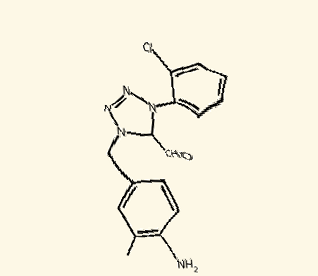 Cc1cc(CN2N=NN(c3ccccc3Cl)C2C=O)ccc1N